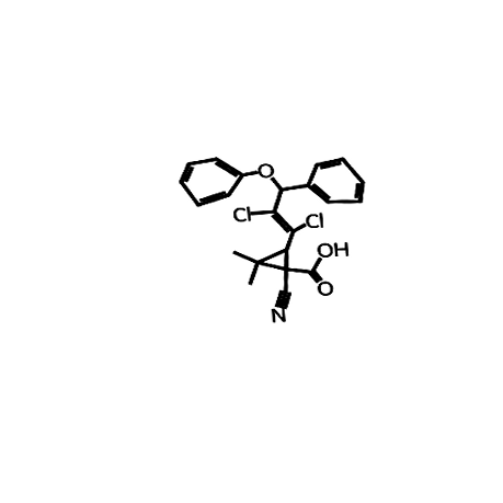 CC1(C)C(C(Cl)=C(Cl)C(Oc2ccccc2)c2ccccc2)C1(C#N)C(=O)O